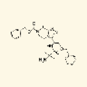 CC1c2nnc([C@@H](COCc3ccccc3)NC(=O)C(C)(C)N)n2CCN1C(=O)OCc1ccccc1